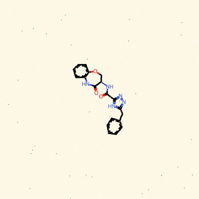 O=C(N[C@@H]1COc2ccccc2NC1=O)c1nnc(Cc2ccccc2)[nH]1